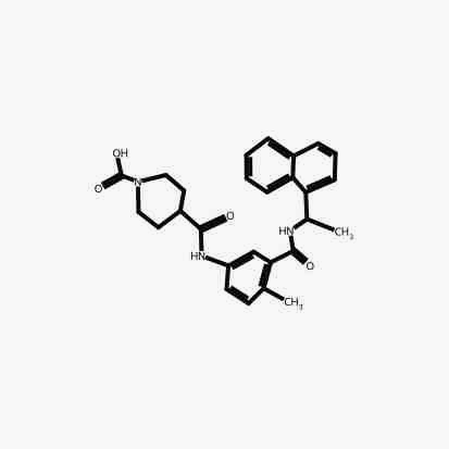 Cc1ccc(NC(=O)C2CCN(C(=O)O)CC2)cc1C(=O)NC(C)c1cccc2ccccc12